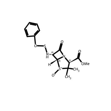 COC(=O)[C@@H]1N2C(=O)[C@@H](NSOc3ccccc3)[C@H]2[S+]([O-])C1(C)C